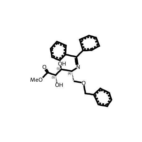 COC(=O)[C@@H](O)[C@@H](O)[C@@H](COCc1ccccc1)N=C(c1ccccc1)c1ccccc1